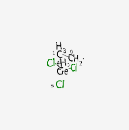 [CH2]C.[Cl][GeH]([Cl])[Cl]